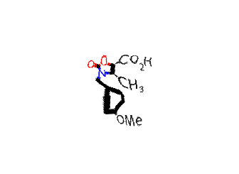 COc1ccc(CN2C(=O)O[C@H](C(=O)O)[C@@H]2C)cc1